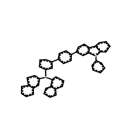 c1ccc(-n2c3ccccc3c3ccc(-c4ccc(-c5cccc(N(c6ccc7ccccc7c6)c6cccc7ccccc67)c5)cc4)cc32)cc1